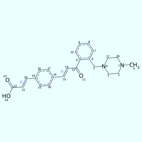 CN1CCN(Cc2ccccc2C(=O)/C=C/c2ccc(/C=C/C(=O)O)cc2)CC1